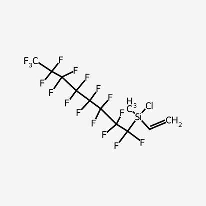 C=C[Si](C)(Cl)C(F)(F)C(F)(F)C(F)(F)C(F)(F)C(F)(F)C(F)(F)C(F)(F)C(F)(F)F